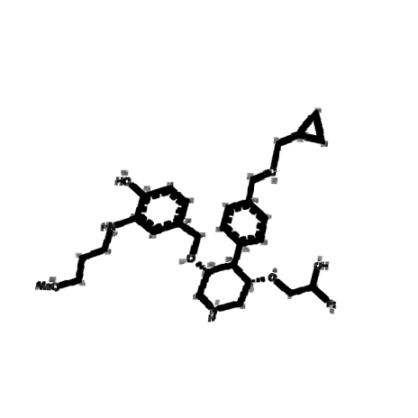 CCC(O)CO[C@@H]1CNC[C@H](OCc2ccc(O)c(NCCCOC)c2)C1c1ccc(COCC2CC2)cc1